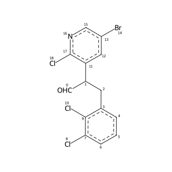 O=CC(Cc1cccc(Cl)c1Cl)c1cc(Br)cnc1Cl